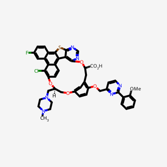 COc1ccccc1-c1nccc(COc2ccc3cc2CC(C(=O)O)Oc2ncnc4sc5c6ccc(F)cc6c6c(Cl)c(ccc6c5c24)O[C@H](CN2CCN(C)CC2)CO3)n1